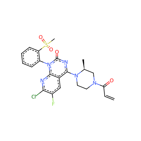 C=CC(=O)N1CCN(c2nc(=O)n(-c3ccccc3S(C)(=O)=O)c3nc(Cl)c(F)cc23)[C@@H](C)C1